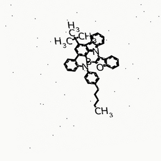 CCCCCc1ccc(N2B3c4oc5ccccc5c4-n4c5ccccc5c5c(C(C)(C)C)cc(c3c54)-c3ccccc32)cc1